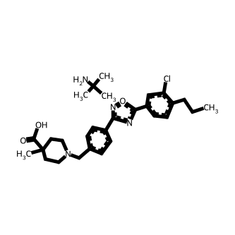 CC(C)(C)N.CCCc1ccc(-c2nc(-c3ccc(CN4CCC(C)(C(=O)O)CC4)cc3)no2)cc1Cl